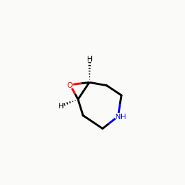 C1C[C@@H]2O[C@@H]2CCN1